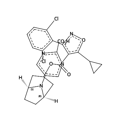 O=C(O)c1ncc(N2[C@@H]3CC[C@H]2CC(OC(=O)c2c(-c4c(Cl)cccc4Cl)noc2C2CC2)C3)cn1